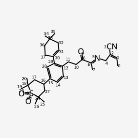 C/C=C(/C#N)C/N=C(\C)C(=O)CCc1ccc(C2CC(C)(C)S(=O)(=O)C(C)(C)C2)cc1C1=CCC(C)(C)CC1